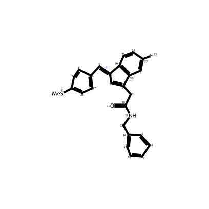 CSc1ccc(/C=C2\C=C(CC(=O)NCc3ccccc3)c3cc(F)ccc32)cc1